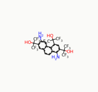 Nc1cc2c(ccc3c(N)c(C(O)(C(F)(F)F)C(F)(F)F)cc(C(O)(C(F)(F)F)C(F)(F)F)c32)cc1C(O)(C(F)(F)F)C(F)(F)F